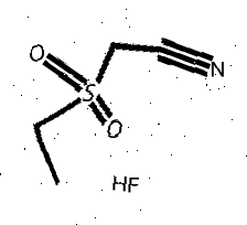 CCS(=O)(=O)CC#N.F